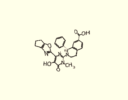 Cn1c(N2CCc3ccc(C(=O)O)cc3[C@H]2c2ccccc2)nc(-c2nc3c(o2)CCC3)c(O)c1=O